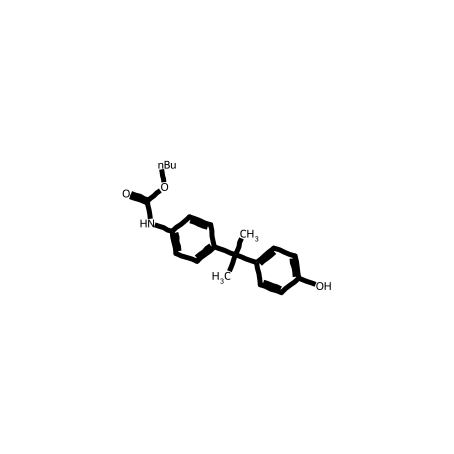 CCCCOC(=O)Nc1ccc(C(C)(C)c2ccc(O)cc2)cc1